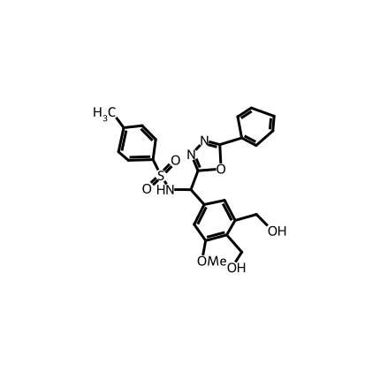 COc1cc(C(NS(=O)(=O)c2ccc(C)cc2)c2nnc(-c3ccccc3)o2)cc(CO)c1CO